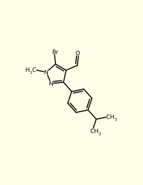 CC(C)c1ccc(-c2nn(C)c(Br)c2C=O)cc1